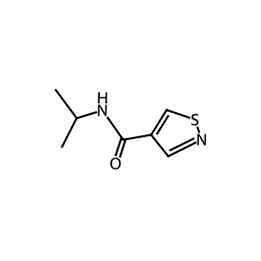 CC(C)NC(=O)c1cnsc1